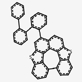 c1ccc(-c2ccccc2-c2ccccc2-c2cc3sc4cccc5c4c3c3c2ccc2sc4cccc-5c4c23)cc1